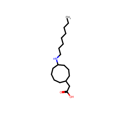 CCCCCCCCNC1CCCCC(CC(=O)O)CCC1